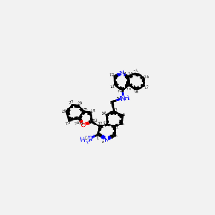 Nc1ncc2ccc(CNc3ccnc4ccccc34)cc2c1-c1cc2ccccc2o1